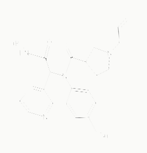 C=CCN1CCC(C(=O)N(c2ccc(C(C)(C)C)cc2)C(C(=O)NC(C)(C)C)c2cccnc2)C1